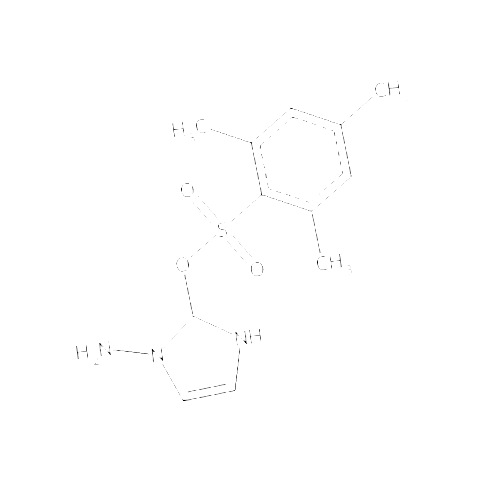 Cc1cc(C)c(S(=O)(=O)OC2NC=CN2N)c(C)c1